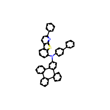 c1ccc(-c2ccc(N(c3ccc4c(c3)-c3ccccc3-c3ccccc3-c3ccccc3-4)c3cccc4c3sc3nc(-c5ccccc5)ccc34)cc2)cc1